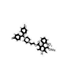 COC(=O)C1=C(C)NC(C)=C(C(=O)OCCN2CCN(C(c3ccc(F)cc3)c3ccc(F)cc3)CC2)C1c1ccccc1[N+](=O)[O-]